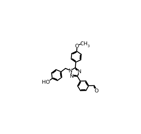 COc1ccc(-c2nc(-c3cccc(C=O)c3)nn2Cc2ccc(O)cc2)cc1